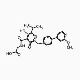 COc1cc(-c2ccc(Cn3nc(C(C)C)c(O)c(C(=O)NCC(=O)O)c3=O)cc2)ccn1